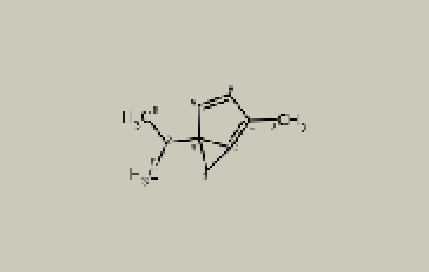 CC1=C2CC2(C(C)C)C=C1